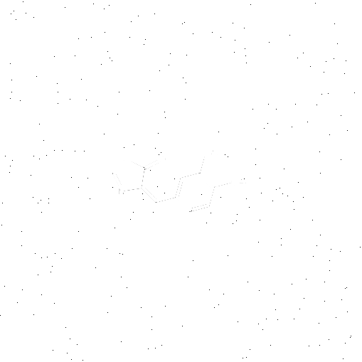 CC(=O)Oc1ccc(C=C2N=COC2=O)cc1OC(C)=O